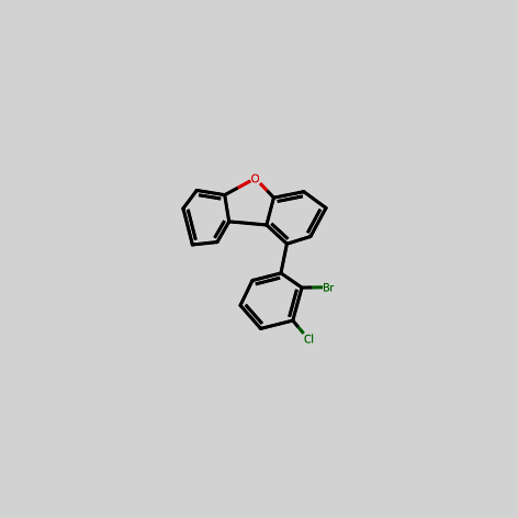 Clc1cccc(-c2cccc3oc4ccccc4c23)c1Br